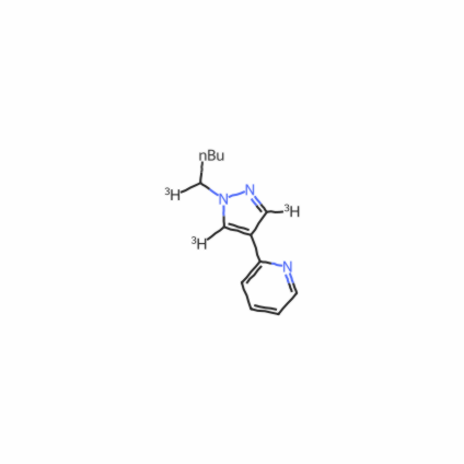 [3H]c1nn(C([3H])CCCC)c([3H])c1-c1ccccn1